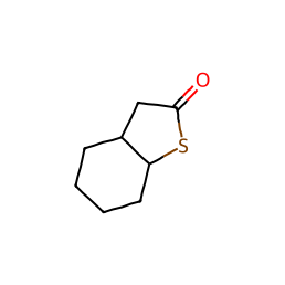 O=C1CC2CCCCC2S1